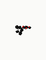 c1ccc(-c2ccc3c(c2)oc2cc(N(c4ccc5c(c4)sc4ccccc45)c4ccc5c6ccccc6n(-c6ccccc6)c5c4)ccc23)cc1